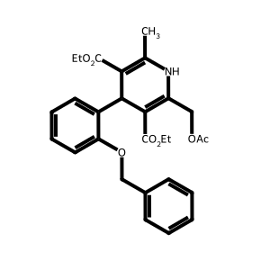 CCOC(=O)C1=C(C)NC(COC(C)=O)=C(C(=O)OCC)C1c1ccccc1OCc1ccccc1